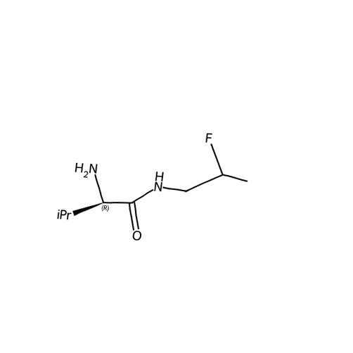 CC(F)CNC(=O)[C@H](N)C(C)C